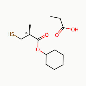 CCC(=O)O.C[C@H](CS)C(=O)OC1CCCCC1